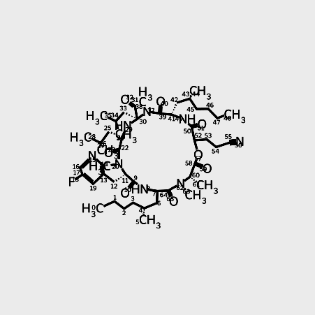 CCCC[C@@H](C)CC1NC(=O)[C@H](Cc2cncc(F)c2)N(C)C(=O)[C@H](CC(C)C)N[C@](C=O)(CC(C)C)N(C)C(=O)[C@H](C[C@H](C)CCCC)NC(=O)C(CCC#N)OC(=O)[C@H](C)N(C)C1=O